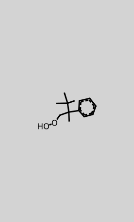 CC(C)(C)C(C)(COO)c1ccccc1